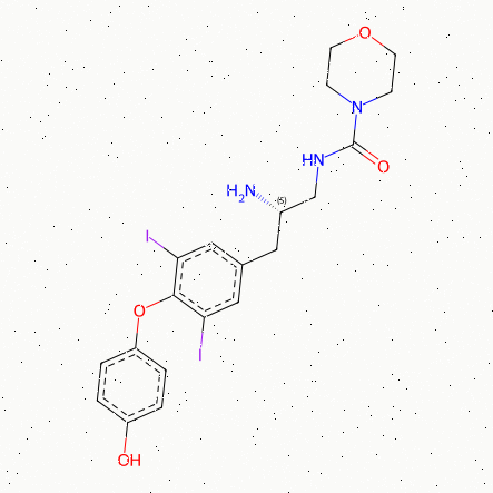 N[C@H](CNC(=O)N1CCOCC1)Cc1cc(I)c(Oc2ccc(O)cc2)c(I)c1